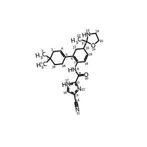 CC1(C)CC=C(C2=C(NC(=O)c3nc(C#N)c[nH]3)C=CC(C3(C)NCCO3)C2)CC1